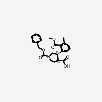 COC(=O)c1c(C)cccc1[C@@H]1CN(C(=O)OCc2ccccc2)CC[C@@H]1C(=O)O